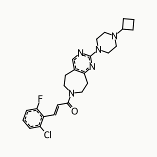 O=C(/C=C/c1c(F)cccc1Cl)N1CCc2cnc(N3CCN(C4CCC4)CC3)nc2CC1